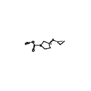 CC(C)(C)OC(=O)N1CC[C@H](SC2CC2)C1